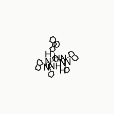 c1ccc(C2N=C(c3cccc4ccccc34)NC(c3cc(-c4ccc5c(c4)oc4ccccc45)cc(C4NC(c5cccc6ccccc56)=NC(c5ccccc5)N4)c3)N2)cc1